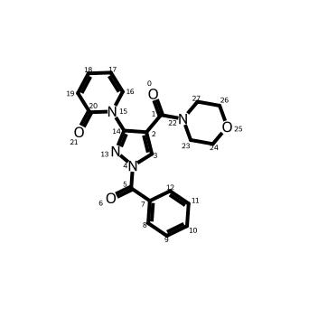 O=C(c1cn(C(=O)c2ccccc2)nc1-n1ccccc1=O)N1CCOCC1